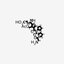 CC(=O)OCc1c(C(=O)N(C(=O)[C@@H]2CCCN2C(=O)CN)C2CCCC2)csc1C(=N)N=CC(=O)O